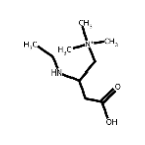 CCNC(CC(=O)O)C[N+](C)(C)C